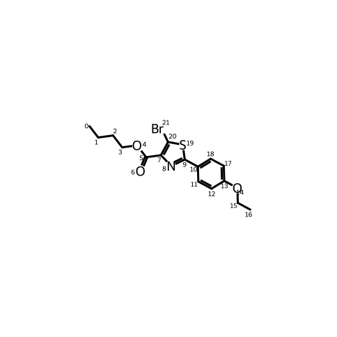 CCCCOC(=O)c1nc(-c2ccc(OCC)cc2)sc1Br